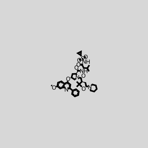 COc1ccc2c(O[C@@H]3C[C@@H](C(=O)N[C@H](C(=O)NS(=O)(=O)C4CC4)C(C)C)N(C(=O)[C@@H](CC(=O)N4CCCCC4)C(C)(C)C)C3)cc(-c3ccccc3)nc2c1